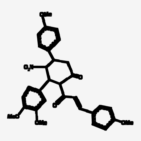 COc1ccc(C=CC(=O)C2C(=O)CC(c3ccc(OC)cc3)C([N+](=O)[O-])C2c2ccc(OC)c(OC)c2)cc1